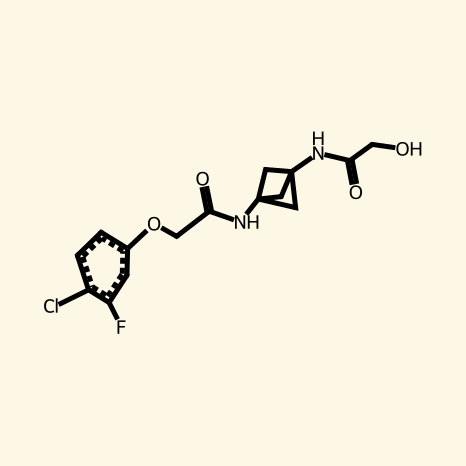 O=C(CO)NC12CC(NC(=O)COc3ccc(Cl)c(F)c3)(C1)C2